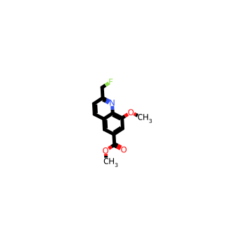 COC(=O)c1cc(OC)c2nc(CF)ccc2c1